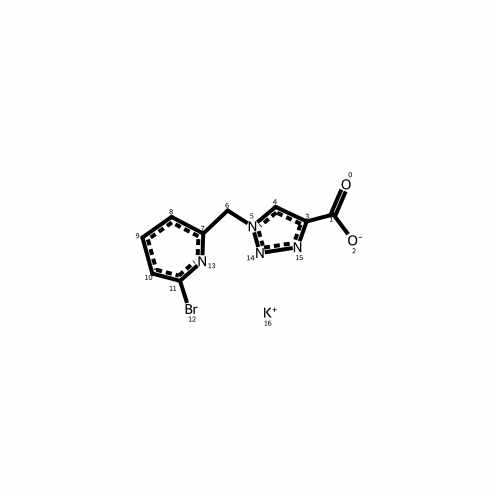 O=C([O-])c1cn(Cc2cccc(Br)n2)nn1.[K+]